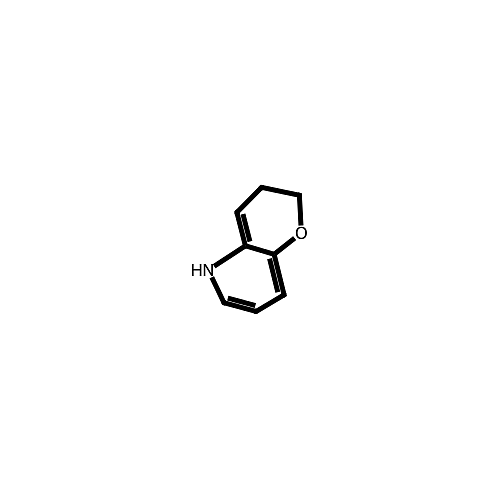 C1=CNC2=CCCOC2=C1